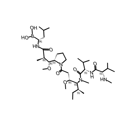 CC[C@H](C)[C@@H]([C@@H](CC(=O)N1CCC[C@H]1[C@H](OC)[C@@H](C)C(=O)N[C@@H](CC(C)C)B(O)O)OC)N(C)C(=O)[C@@H](NC(=O)[C@@H](NC)C(C)C)C(C)C